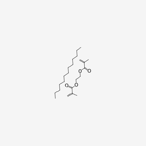 C=C(C)C(=O)OCCOC(=O)C(=C)C.CCCCCCCCCCCCC